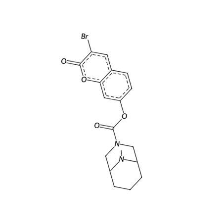 CN1C2CCCC1CN(C(=O)Oc1ccc3cc(Br)c(=O)oc3c1)C2